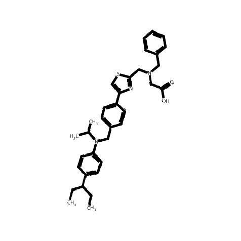 CCC(CC)c1ccc(N(Cc2ccc(-c3csc(CN(CC(=O)O)Cc4ccccc4)n3)cc2)C(C)C)cc1